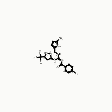 Cc1ccc(CN/C(=N/C(=O)c2ccc(F)cc2)NC2CC(C(F)(F)F)NN2)o1